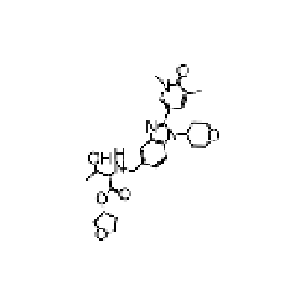 Cc1cc(-c2nc3cc(CNC(C(=O)O[C@@H]4CCOC4)C(C)O)ccc3n2C2CCOCC2)cn(C)c1=O